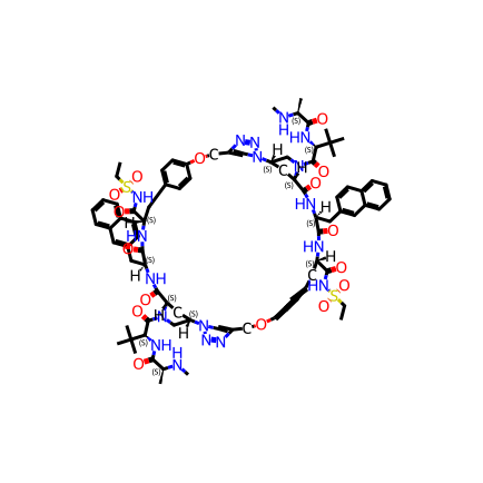 CCS(=O)(=O)NC(=O)[C@@H]1Cc2ccc(cc2)OCc2cn(nn2)[C@H]2C[C@@H](C(=O)N[C@@H](Cc3ccc4ccccc4c3)C(=O)N[C@H](C(=O)NS(=O)(=O)CC)Cc3ccc(cc3)OCc3cn(nn3)[C@H]3C[C@@H](C(=O)N[C@@H](Cc4ccc5ccccc5c4)C(=O)N1)N(C(=O)[C@@H](NC(=O)[C@H](C)NC)C(C)(C)C)C3)N(C(=O)[C@@H](NC(=O)[C@H](C)NC)C(C)(C)C)C2